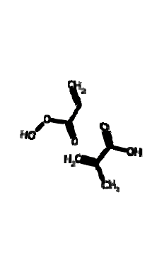 C=C(C)C(=O)O.C=CC(=O)OO